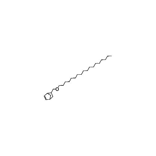 CCCCCCCCCCCCCCCCCCOCC1CC2C=CC1C2